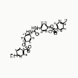 CCc1ccc(S(=O)(=O)Oc2ccc(NC(=O)Nc3ccc(OS(=O)(=O)c4ccc(C)cc4)cc3)cc2)cc1